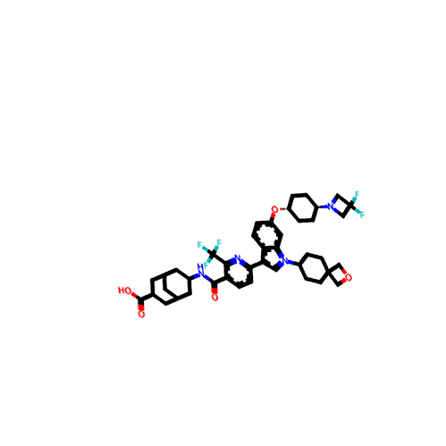 O=C(NC1CC2CC(C1)CC(C(=O)O)C2)c1ccc(-c2cn(C3CCC4(CC3)COC4)c3cc(O[C@H]4CC[C@H](N5CC(F)(F)C5)CC4)ccc23)nc1C(F)(F)F